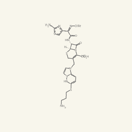 CO/N=C(\C(=O)N[C@@H]1C(=O)N2C(C(=O)O)=C(CN3C=CN4NC(SCCCN)=CC=C34)CS[C@@H]12)c1csc(N)n1.Cl